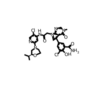 CC(C)[C@H]1CN(c2cc(NC(=O)Cn3cc(-c4cc(Cl)c(O)c(C(N)=O)c4)c4c(=O)n(C)cnc43)c(Cl)cn2)CCO1